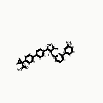 Cc1noc(-c2ccc(-c3ccc(C4(C(=O)O)CC4)cc3)cc2)c1Nc1cccc(-c2cccc(N)c2)n1